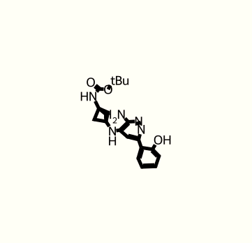 CC(C)(C)OC(=O)NC12CC(Nc3cc(-c4ccccc4O)nnc3N)(C1)C2